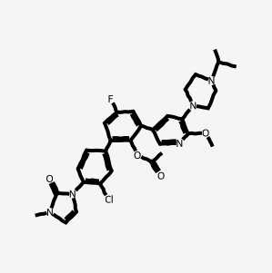 COc1ncc(-c2cc(F)cc(-c3ccc(-n4ccn(C)c4=O)c(Cl)c3)c2OC(C)=O)cc1N1CCN(C(C)C)CC1